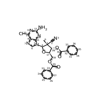 C[C@]1(C#N)C(n2cnc3c(Cl)nc(N)nc32)O[C@H](COC(=O)c2ccccc2)[C@H]1OC(=O)c1ccccc1